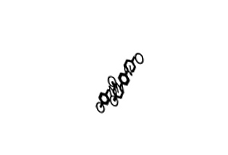 COc1ccc(CN2C(=O)CCN(c3ccc(N4CCC(C=O)CC4)cc3)C2=O)cc1